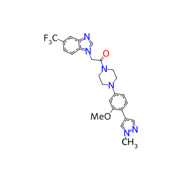 COc1cc(N2CCN(C(=O)Cn3cnc4cc(C(F)(F)F)ccc43)CC2)ccc1-c1cnn(C)c1